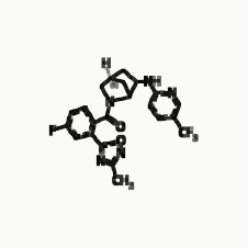 Cc1noc(-c2cc(F)ccc2C(=O)N2C[C@H]3CC(Nc4ccc(C(F)(F)F)cn4)C2C3)n1